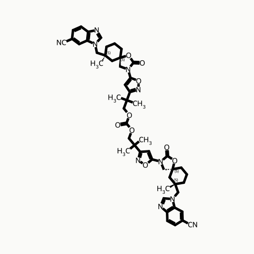 CC(C)(COC(=O)OCC(C)(C)c1cc(N2C[C@@]3(CCC[C@](C)(Cn4cnc5ccc(C#N)cc54)C3)OC2=O)on1)c1cc(N2C[C@@]3(CCC[C@](C)(Cn4cnc5ccc(C#N)cc54)C3)OC2=O)on1